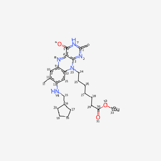 C=c1nc2c(c(=O)[nH]1)=Nc1cc(C)c(NCC3CCCC3)cc1N2CCCCCCC(=O)OC(C)(C)C